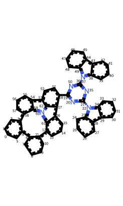 c1ccc2c(c1)c1ccccc1c1cccc3c4c(-c5nc(-n6c7ccccc7c7ccccc76)nc(-n6c7ccccc7c7ccccc76)n5)ccc5c6cccc2c6n(c13)c54